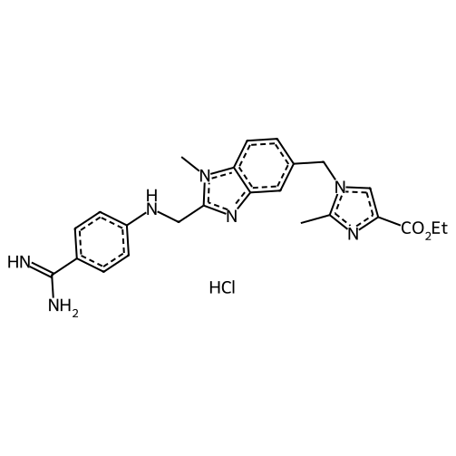 CCOC(=O)c1cn(Cc2ccc3c(c2)nc(CNc2ccc(C(=N)N)cc2)n3C)c(C)n1.Cl